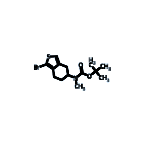 CN(C(=O)OC(C)(C)C)C1CCc2c(csc2Br)C1